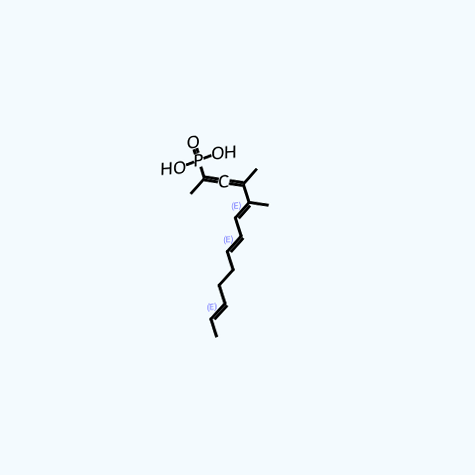 C/C=C/CC/C=C/C=C(\C)C(C)=C=C(C)P(=O)(O)O